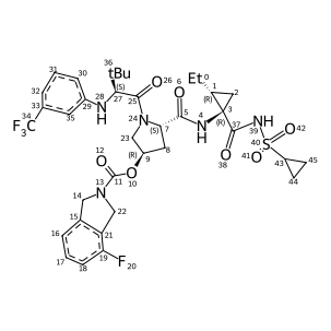 CC[C@@H]1C[C@]1(NC(=O)[C@@H]1C[C@@H](OC(=O)N2Cc3cccc(F)c3C2)CN1C(=O)[C@@H](Nc1cccc(C(F)(F)F)c1)C(C)(C)C)C(=O)NS(=O)(=O)C1CC1